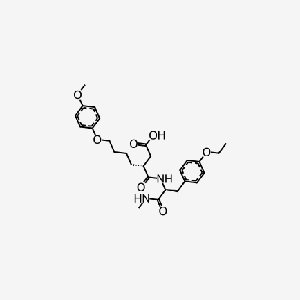 CCOc1ccc(C[C@H](NC(=O)[C@H](CCCCOc2ccc(OC)cc2)CC(=O)O)C(=O)NC)cc1